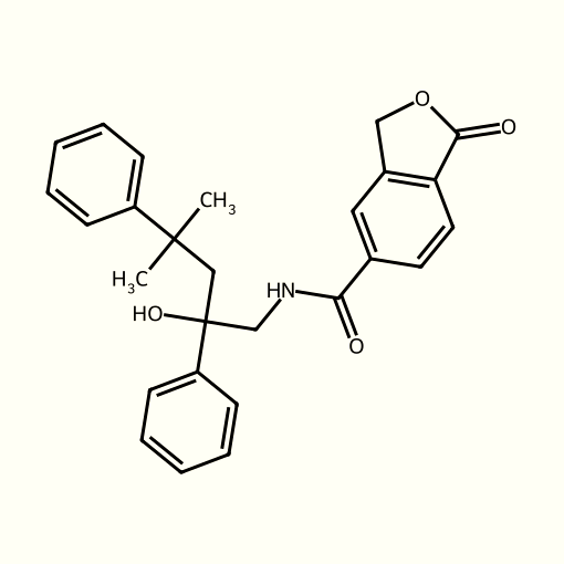 CC(C)(CC(O)(CNC(=O)c1ccc2c(c1)COC2=O)c1ccccc1)c1ccccc1